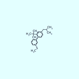 CSc1cccc(-c2ccc(CC(C)C)cc2C(C)(C)C)c1